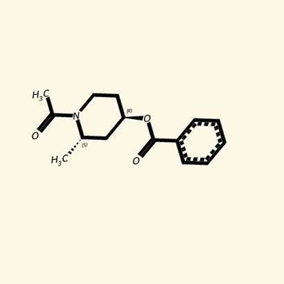 CC(=O)N1CC[C@@H](OC(=O)c2ccccc2)C[C@@H]1C